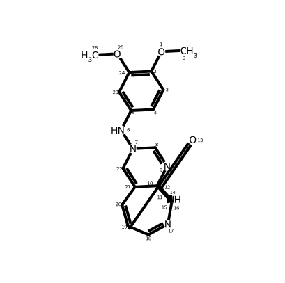 COc1ccc(NN2C=NC34CC(=O)NC=C3N=CC=CC4=C2)cc1OC